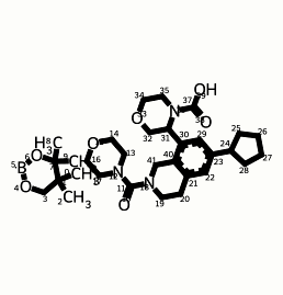 CC1(C)CO[B]OC1(C)C.O=C(N1CCOCC1)N1CCc2cc(C3CCCC3)cc(C3COCCN3C(=O)O)c2C1